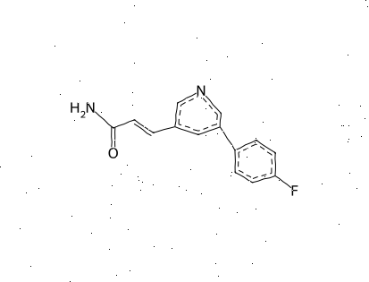 NC(=O)C=Cc1cncc(-c2ccc(F)cc2)c1